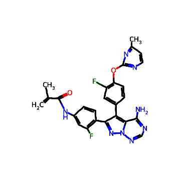 C=C(C)C(=O)Nc1ccc(-c2nn3ncnc(N)c3c2-c2ccc(Oc3nccc(C)n3)c(F)c2)c(F)c1